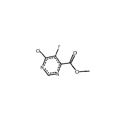 COC(=O)c1ncnc(Cl)c1F